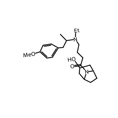 CCN(CCCC(=O)N1C2CCC1CC(O)C2)C(C)Cc1ccc(OC)cc1